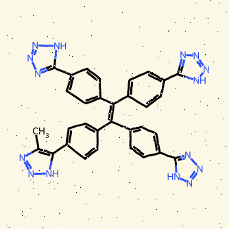 Cc1nn[nH]c1-c1ccc(C(=C(c2ccc(-c3nnn[nH]3)cc2)c2ccc(-c3nnn[nH]3)cc2)c2ccc(-c3nnn[nH]3)cc2)cc1